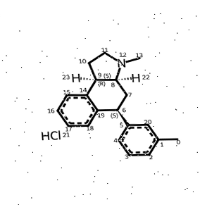 Cc1cccc([C@@H]2C[C@H]3[C@H](CCN3C)c3ccccc32)c1.Cl